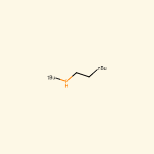 CCCCCCPC(C)(C)C